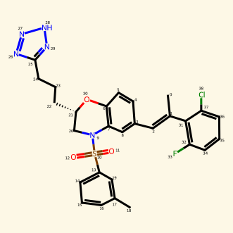 C/C(=C\c1ccc2c(c1)N(S(=O)(=O)c1cccc(C)c1)C[C@H](CCCc1nn[nH]n1)O2)c1c(F)cccc1Cl